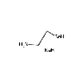 NCC[SeH].[NaH]